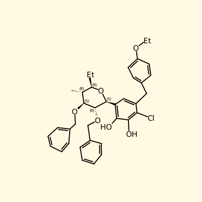 CCOc1ccc(Cc2cc([C@@H]3O[C@H](CC)[C@@H](C)[C@H](OCc4ccccc4)[C@H]3OCc3ccccc3)c(O)c(O)c2Cl)cc1